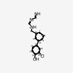 N=C/N=C\NCc1cccc(-c2ccc(O)c(Cl)c2)c1